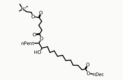 CCCCCCCCCCOC(=O)CCCCCCCCCCC(O)C(CCCCC)OC(=O)CCCC(=O)OCC[N+](C)(C)C